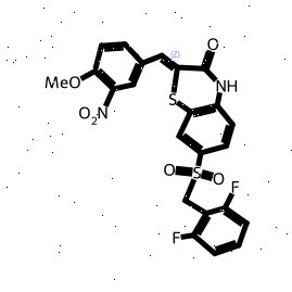 COc1ccc(/C=C2\Sc3cc(S(=O)(=O)Cc4c(F)cccc4F)ccc3NC2=O)cc1[N+](=O)[O-]